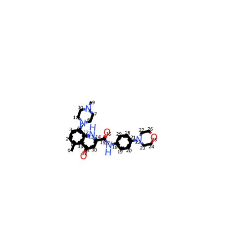 Cc1ccc(N2CCN(C)CC2)c2[nH]c(C(=O)Nc3ccc(N4CCOCC4)cc3)cc(=O)c12